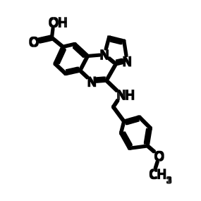 COc1ccc(CNc2nc3ccc(C(=O)O)cc3n3ccnc23)cc1